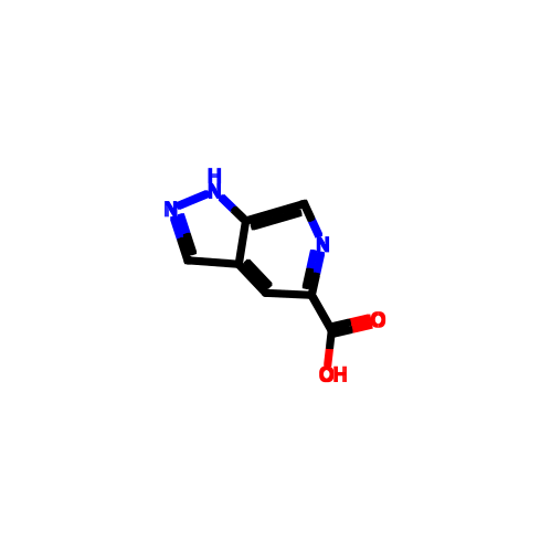 O=C(O)c1cc2cn[nH]c2cn1